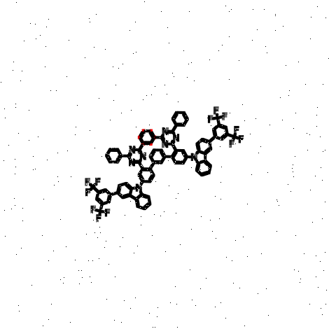 FC(F)(F)c1cc(-c2ccc3c(c2)c2ccccc2n3-c2ccc(-c3cccc(-c4ccc(-n5c6ccccc6c6cc(-c7cc(C(F)(F)F)cc(C(F)(F)F)c7)ccc65)cc4-c4nc(-c5ccccc5)nc(-c5ccccc5)n4)c3)c(-c3nc(-c4ccccc4)nc(-c4ccccc4)n3)c2)cc(C(F)(F)F)c1